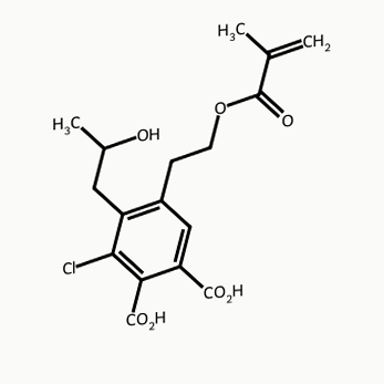 C=C(C)C(=O)OCCc1cc(C(=O)O)c(C(=O)O)c(Cl)c1CC(C)O